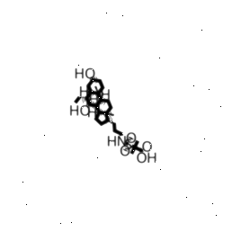 CC[C@H]1[C@@H](O)[C@@H]2[C@H](CC[C@]3(C)[C@@H](CCCNS(=O)(=O)C(C)(C)C(=O)O)CC[C@@H]23)[C@@]2(C)CC[C@@H](O)C[C@@H]12